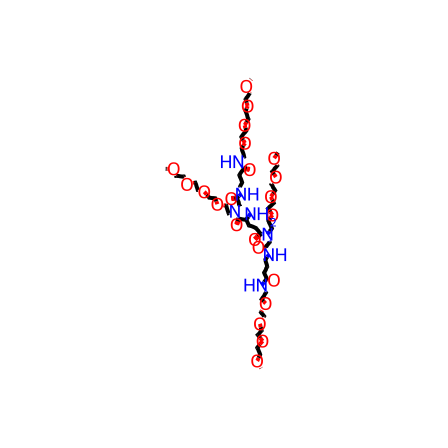 COCCOCCOCCOCCNC(=O)CCCNC(=O)CN(CCOCCOCCOCCOC)C(=O)CCC(N)C(=O)N(CCOCCOCCOCCOC)CC(=O)NCCCC(=O)NCCOCCOCCOCCOC